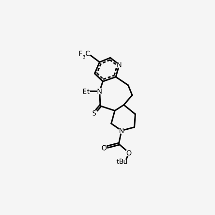 CCN1C(=S)C2CN(C(=O)OC(C)(C)C)CCC2CCc2ncc(C(F)(F)F)cc21